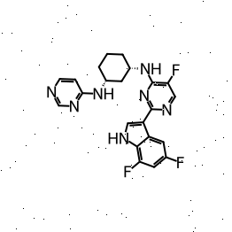 Fc1cc(F)c2[nH]cc(-c3ncc(F)c(N[C@H]4CCC[C@@H](Nc5ccncn5)C4)n3)c2c1